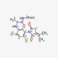 CCCCCNC(=O)C(C)Nc1cc(N2C(=O)CC(=C(C)C)C2=O)c(Cl)cc1Cl